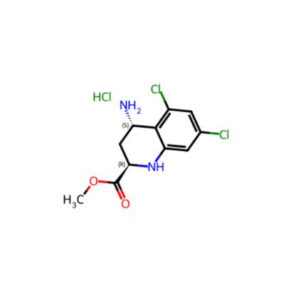 COC(=O)[C@H]1C[C@H](N)c2c(Cl)cc(Cl)cc2N1.Cl